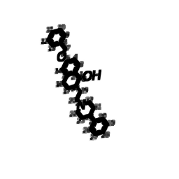 O[C@H]1c2ccc(OCc3ccccc3)cc2CC[C@@H]1CCN1CCC(c2ccccc2)CC1